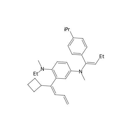 C=C/C=C(\c1cc(N(C)/C(=C/CC)c2ccc(C(C)C)cc2)ccc1N(C)CC)C1CCC1